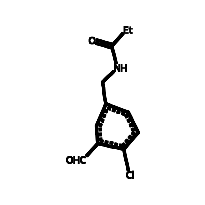 CCC(=O)NCc1ccc(Cl)c(C=O)c1